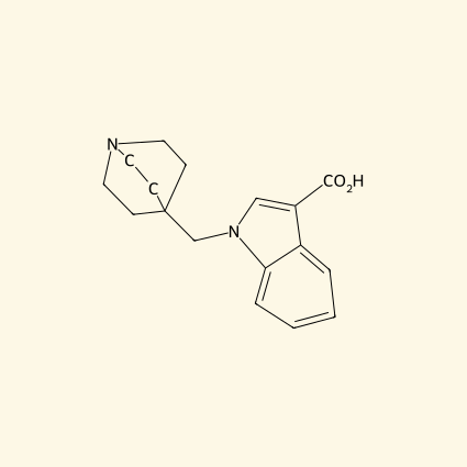 O=C(O)c1cn(CC23CCN(CC2)CC3)c2ccccc12